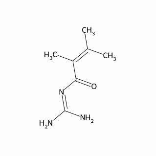 CC(C)=C(C)C(=O)N=C(N)N